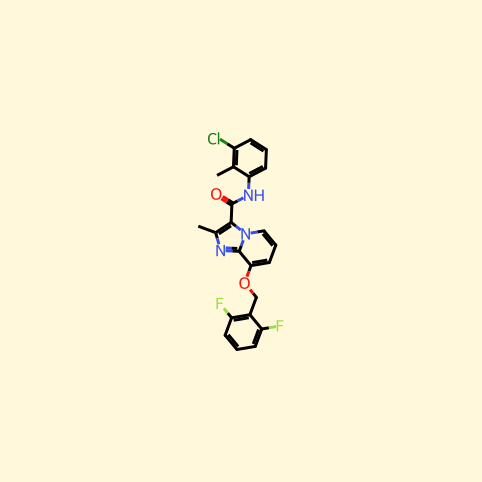 Cc1nc2c(OCc3c(F)cccc3F)cccn2c1C(=O)Nc1cccc(Cl)c1C